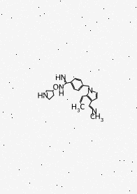 C/C=C\c1c(/C=N/C)ccn1Cc1ccc(C(=N)NOC2CCNC2)cc1